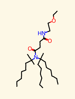 CCCCCCC(C)(C)N(C(=O)CCC(=O)NCCOCC)C(C)(CCCCCC)CCCCCC